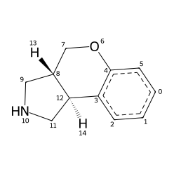 c1ccc2c(c1)OC[C@H]1CNC[C@H]21